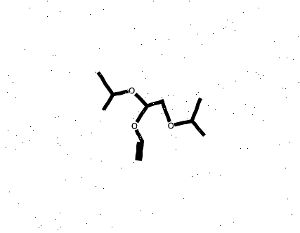 [CH2]C(C)OC(COC(C)C)OC=C